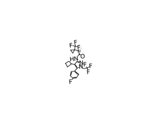 C[C@H](C(=O)Nc1nn(CC(F)(F)F)c(-c2ccc(F)cc2)c1C1CCC1)C1(C(F)(F)F)CC1